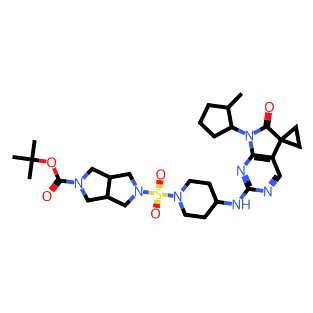 CC1CCCC1N1C(=O)C2(CC2)c2cnc(NC3CCN(S(=O)(=O)N4CC5CN(C(=O)OC(C)(C)C)CC5C4)CC3)nc21